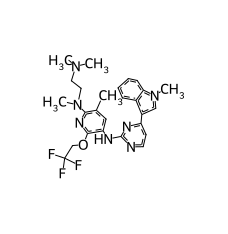 Cc1cc(Nc2nccc(-c3cn(C)c4ccccc34)n2)c(OCC(F)(F)F)nc1N(C)CCN(C)C